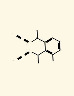 CC(N=C=O)c1cccc(S)c1C(C)N=C=O